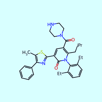 CCc1cccc(CC)c1-n1c(CC(C)C)c(C(=O)N2CCNCC2)cc(-c2nc(-c3ccccc3)c(C)s2)c1=O